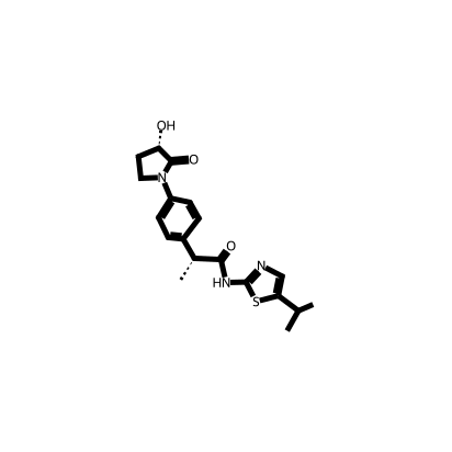 CC(C)c1cnc(NC(=O)[C@H](C)c2ccc(N3CC[C@H](O)C3=O)cc2)s1